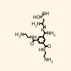 NCCNC(=O)c1cc(C(=O)NCCN)cc(/C(N)=N/N=C(\N)CP(O)O)c1